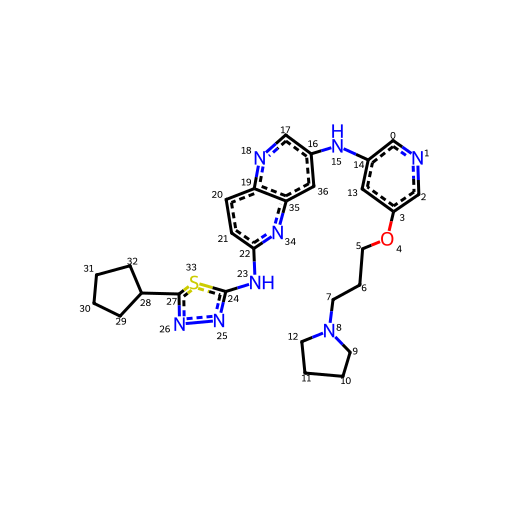 c1ncc(OCCCN2CCCC2)cc1Nc1cnc2ccc(Nc3nnc(C4CCCC4)s3)nc2c1